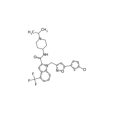 CC(C)N1CCC(NC(=O)c2cc3c(C(F)(F)F)cccc3n2Cc2cc(-c3ccc(Cl)s3)on2)CC1